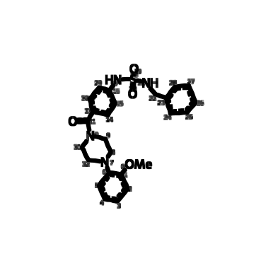 COc1ccccc1N1CCN(C(=O)c2ccc(NS(=O)(=O)NCc3ccccc3)cc2)CC1